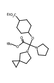 CCOC(=O)C1CCC(OC(C(=O)OC(C)(C)C)(N2CCCC2)N2CCC3(CC3)C2)CC1